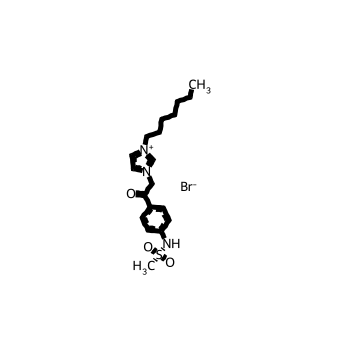 CCCCCCC[n+]1ccn(CC(=O)c2ccc(NS(C)(=O)=O)cc2)c1.[Br-]